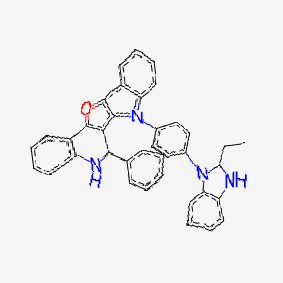 CCC1Nc2ccccc2N1c1ccc(-n2c3ccccc3c3oc4c(c32)C(c2ccccc2)Nc2ccccc2-4)cc1